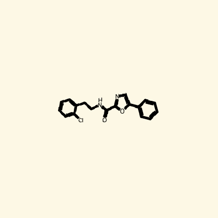 O=C(NCCc1ccccc1Cl)c1ncc(-c2ccccc2)o1